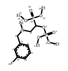 CCOP(=O)(OCC)OC(CN(Cc1cccc(F)c1)C(C)=O)P(=O)(OCC)OCC